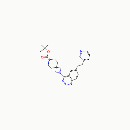 CC(C)(C)OC(=O)N1CCC2(CC1)CN(c1ncnc3ccc(CCc4cccnc4)cc13)C2